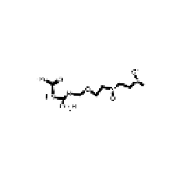 CCCC(=O)NC(NCOCC[S+]([O-])CC[S+](C)[O-])C(=O)O